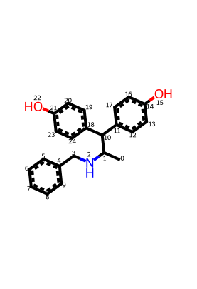 CC(NCc1ccccc1)C(c1ccc(O)cc1)c1ccc(O)cc1